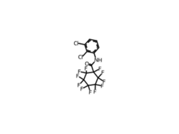 O=C(Nc1cccc(Cl)c1Cl)C1(F)C(F)(F)C(F)(F)C(F)(F)C(F)(F)C1(F)F